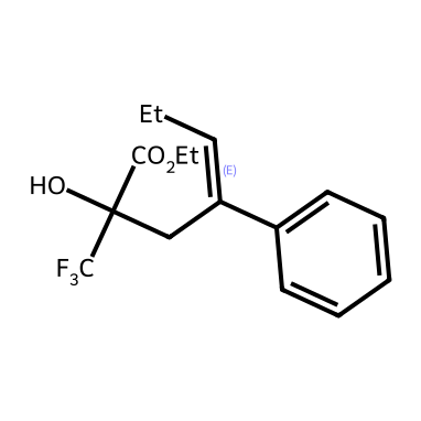 CC/C=C(\CC(O)(C(=O)OCC)C(F)(F)F)c1ccccc1